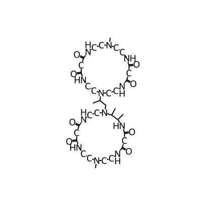 CC1NC(=O)CC(=O)NCCN(C)CCNC(=O)CC(=O)NCCN(CC(C)N2CCNC(=O)CC(=O)NCCN(C)CCNC(=O)CC(=O)NCC2)C1C